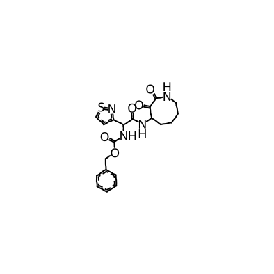 O=C(NC(C(=O)NC1CCCCNC(=O)C1=O)c1ccsn1)OCc1ccccc1